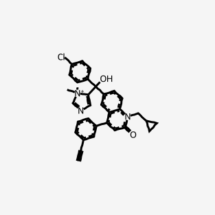 C#Cc1cccc(-c2cc(=O)n(CC3CC3)c3ccc(C(O)(C4=CN=C[N+]4(C)C)c4ccc(Cl)cc4)cc23)c1